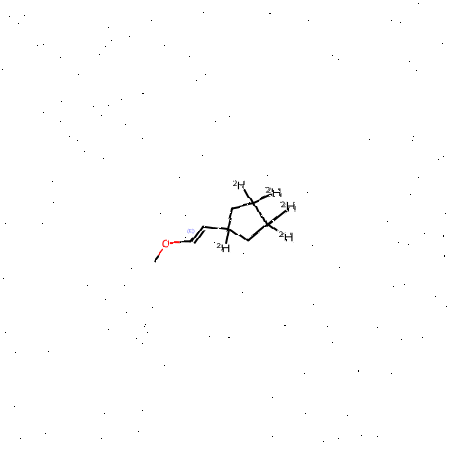 [2H]C1(/C=C/OC)CC([2H])([2H])C([2H])([2H])C1